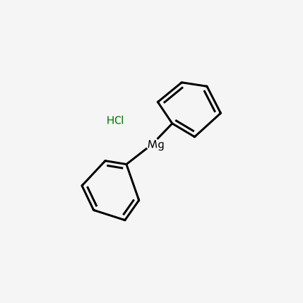 Cl.c1cc[c]([Mg][c]2ccccc2)cc1